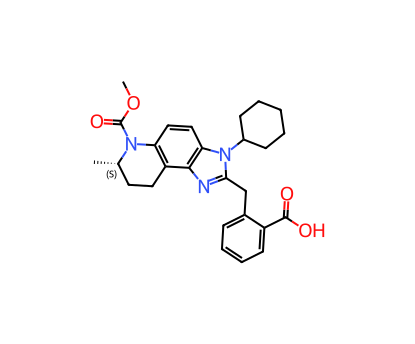 COC(=O)N1c2ccc3c(nc(Cc4ccccc4C(=O)O)n3C3CCCCC3)c2CC[C@@H]1C